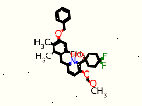 COCOc1ccc(Cc2c(C)cc(OCc3ccccc3)c(C)c2C)nc1C1(O)CCC(F)(F)CC1